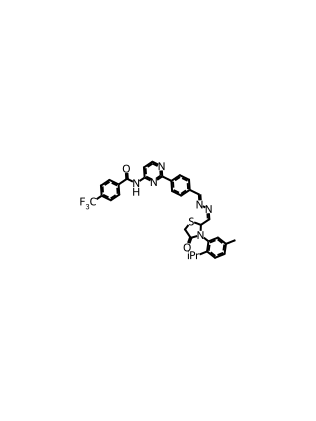 Cc1ccc(C(C)C)c(N2C(=O)CSC2/C=N\N=C\c2ccc(-c3nccc(NC(=O)c4ccc(C(F)(F)F)cc4)n3)cc2)c1